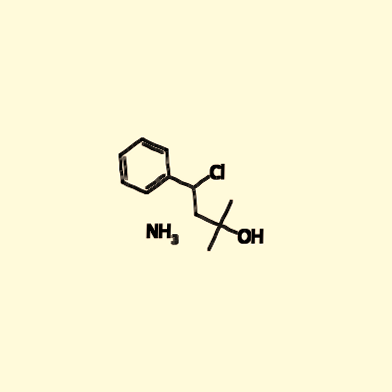 CC(C)(O)CC(Cl)c1ccccc1.N